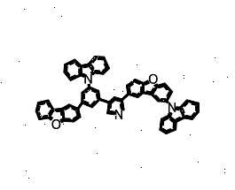 c1ccc2c(c1)oc1ccc(-c3cc(-c4cncc(-c5ccc6oc7ccc(-n8c9ccccc9c9ccccc98)cc7c6c5)c4)cc(-n4c5ccccc5c5ccccc54)c3)cc12